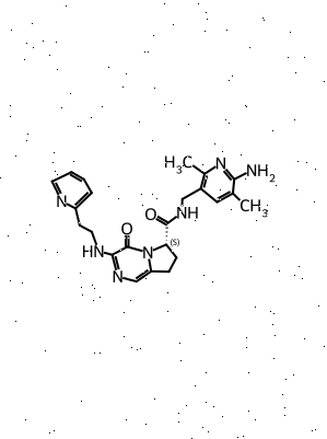 Cc1cc(CNC(=O)[C@@H]2CCc3cnc(NCCc4ccccn4)c(=O)n32)c(C)nc1N